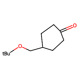 CC(C)(C)OCC1CCC(=O)CC1